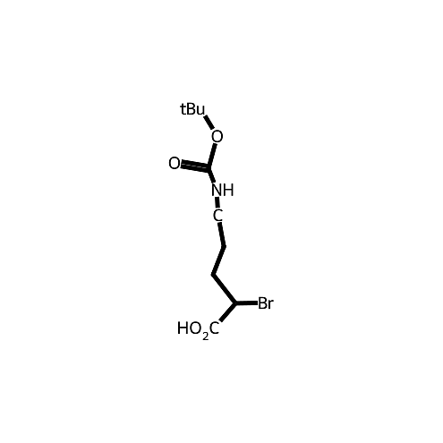 CC(C)(C)OC(=O)NCCCC(Br)C(=O)O